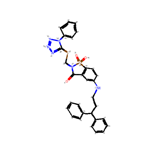 O=C1c2cc(NCCC(c3ccccc3)c3ccccc3)ccc2S(=O)(=O)N1CSc1nnnn1-c1ccccc1